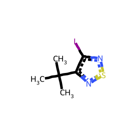 CC(C)(C)c1nsnc1I